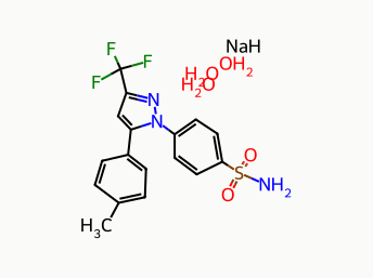 Cc1ccc(-c2cc(C(F)(F)F)nn2-c2ccc(S(N)(=O)=O)cc2)cc1.O.O.O.[NaH]